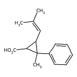 CC(C)=CC1C(C(=O)O)C1(C)c1ccccc1